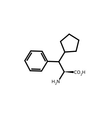 N[C@H](C(=O)O)C(c1ccccc1)C1CCCC1